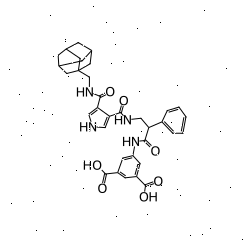 O=C(O)c1cc(NC(=O)C(CNC(=O)c2c[nH]cc2C(=O)NCC23CC4CC(CC(C4)C2)C3)c2ccccc2)cc(C(=O)O)c1